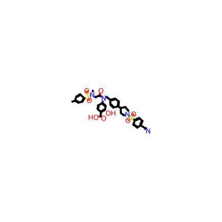 Cc1ccc(S(=O)(=O)N(C)CC(=O)N(Cc2ccc(C3CCN(S(=O)(=O)c4ccc(C#N)cc4)CC3)cc2)c2ccc(C(=O)O)c(O)c2)cc1